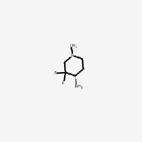 CN1CC[C@H](N)C(F)(F)C1